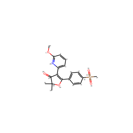 COc1cccc(C2=C(c3ccc(S(C)(=O)=O)cc3)OC(C)(C)C2=O)n1